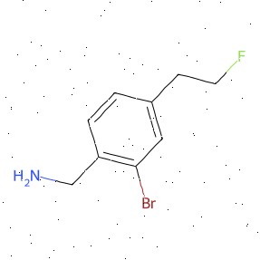 NCc1ccc(CCF)cc1Br